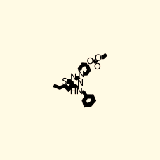 CCOC(=O)OC1CCN(c2nc(NCc3ccccc3)c3cc(CC)sc3n2)CC1